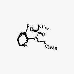 COCCN(c1ncccc1F)S(N)(=O)=O